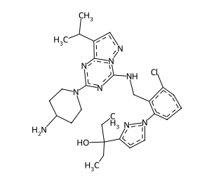 CCC(O)(CC)c1ccn(-c2cccc(Cl)c2CNc2nc(N3CCC(N)CC3)nc3c(C(C)C)cnn23)n1